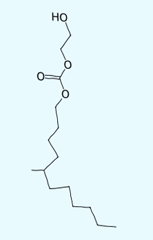 CCCCCCC(C)CCCCOC(=O)OCCO